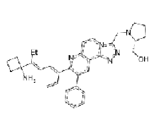 C=C/C(=C\C=C(/CC)C1(N)CCC1)c1nc2ccn3c(CN4CCC[C@@H]4CO)nnc3c2cc1-c1ccccc1